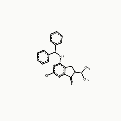 CC(C)N1Cc2c(NC(c3ccccc3)c3ccccc3)nc(Cl)nc2C1=O